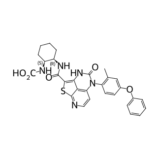 Cc1cc(Oc2ccccc2)ccc1N1C(=O)Nc2c(C(=O)N[C@@H]3CCCC[C@@H]3NC(=O)O)sc3nccc1c23